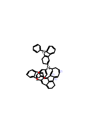 C1=C(N(c2ccc3sc4ccccc4c3c2)C2/C=C3/C(=C\C=C/C2)C2=c4c3c3ccccc3cc4=CCC2)CCc2c1c1ccccc1n2-c1ccccc1